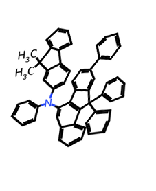 CC1(C)c2ccccc2-c2ccc(N(c3ccccc3)c3cc4ccccc4c4c3-c3ccc(-c5ccccc5)cc3C4(c3ccccc3)c3ccccc3)cc21